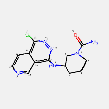 NC(=O)N1CCC[C@@H](Nc2nnc(Cl)c3ccncc23)C1